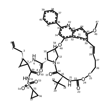 C=CC[C@H]1C[C@]1(NC(=O)[C@@H]1C[C@@H]2CN1C(=O)[C@H](C(C)(C)C)NC(=O)OCCC/C=C/c1cc3c(cc(-c4ccccc4)nc3cc1OC)O2)C(=O)NS(=O)(=O)C1CC1